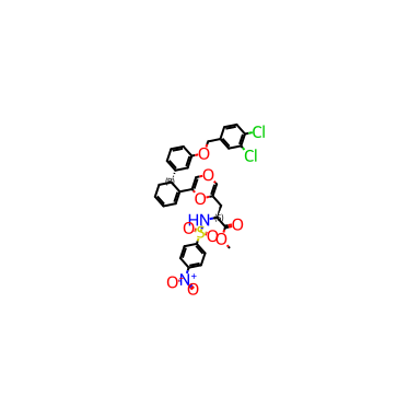 COC(=O)[C@H](CC1=COC=C(C2=CC=CC[C@@H]2c2cccc(OCc3ccc(Cl)c(Cl)c3)c2)O1)NS(=O)(=O)c1ccc([N+](=O)[O-])cc1